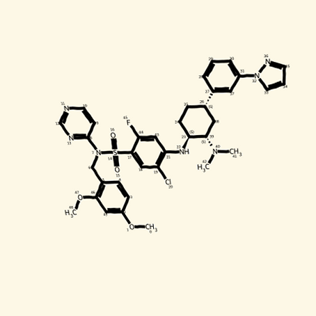 COc1ccc(CN(c2ccncn2)S(=O)(=O)c2cc(Cl)c(N[C@H]3CC[C@H](c4cccc(-n5cccn5)c4)C[C@@H]3N(C)C)cc2F)c(OC)c1